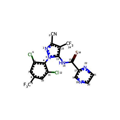 N#Cc1nn(-c2c(Cl)cc(C(F)(F)F)cc2Cl)c(NC(=S)c2cnccn2)c1C(F)(F)F